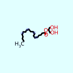 CCCC/C=C\C/C=C\C/C=C\C/C=C\CCCC(=O)OC(CO)CO